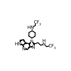 FC(F)(F)CNCCc1nc2cnc3[nH]ccc3c2n1[C@H]1CC[C@H](NCC(F)(F)F)CC1